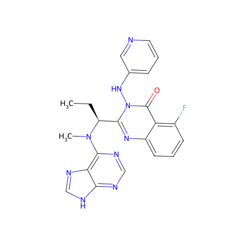 CC[C@@H](c1nc2cccc(F)c2c(=O)n1Nc1cccnc1)N(C)c1ncnc2[nH]cnc12